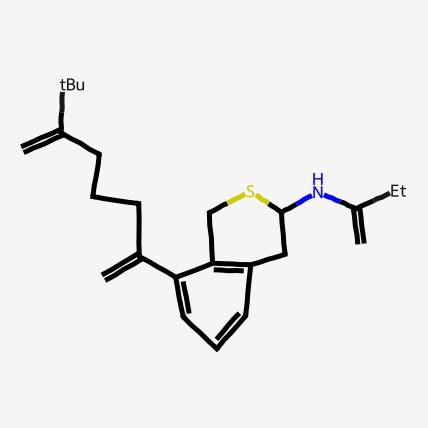 C=C(CC)NC1Cc2cccc(C(=C)CCCC(=C)C(C)(C)C)c2CS1